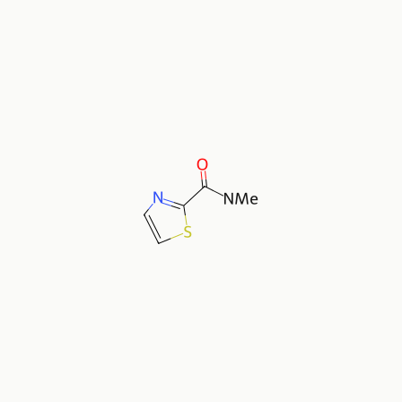 [CH2]NC(=O)c1nccs1